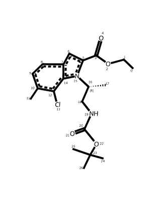 CCOC(=O)c1cc2ccc(C)c(Cl)c2n1[C@H](C)CNC(=O)OC(C)(C)C